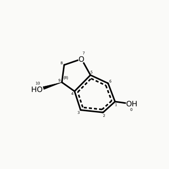 Oc1ccc2c(c1)OC[C@@H]2O